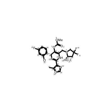 COC(=O)OC1=C(CN2CC(F)(F)C[C@H]2C(=O)O)NC(c2ncoc2C)=N[C@@H]1c1ccc(F)cc1Cl